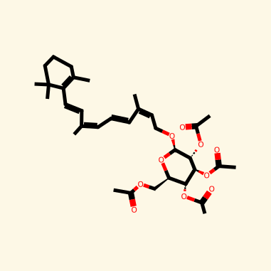 CC(=O)OC[C@H]1O[C@@H](OCC=C(C)C=CC=C(C)C=CC2=C(C)CCCC2(C)C)[C@H](OC(C)=O)[C@@H](OC(C)=O)[C@@H]1OC(C)=O